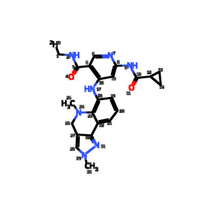 [2H]CNC(=O)c1cnc(NC(=O)C2CC2)cc1Nc1cccc2c1N(C)Cc1cn(C)nc1-2